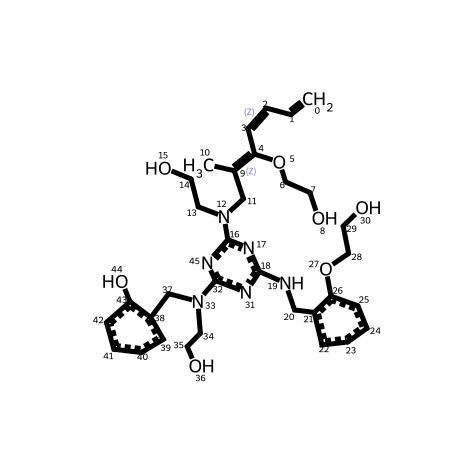 C=C/C=C\C(OCCO)=C(/C)CN(CCO)c1nc(NCc2ccccc2OCCO)nc(N(CCO)Cc2ccccc2O)n1